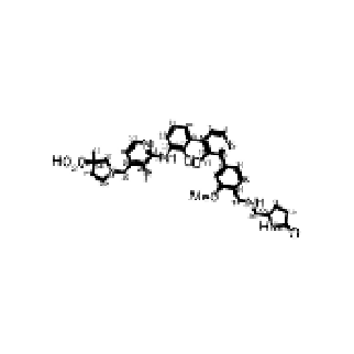 COc1cc(-c2nccc(-c3cccc(Nc4nccc(CN5CCC(C)(C(=O)O)C5)c4F)c3Cl)c2Cl)ccc1CNCC1CCC(=O)N1